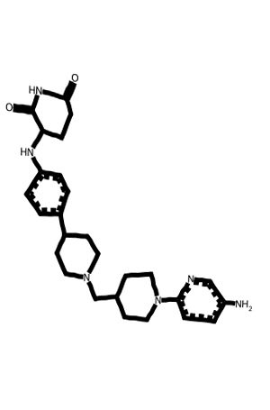 Nc1ccc(N2CCC(CN3CCC(c4ccc(NC5CCC(=O)NC5=O)cc4)CC3)CC2)nc1